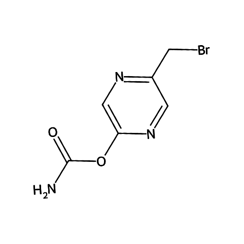 NC(=O)Oc1cnc(CBr)cn1